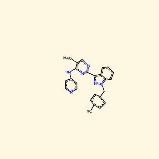 COc1cnc(-c2nn(Cc3ccc(C#N)cc3)c3ccccc23)nc1Nc1ccncc1